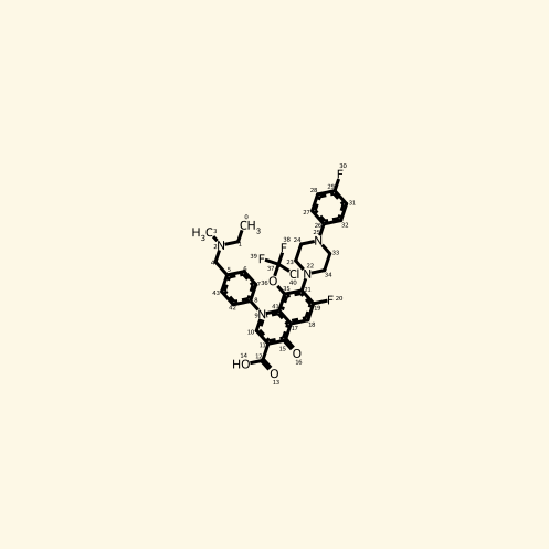 CCN(C)Cc1ccc(-n2cc(C(=O)O)c(=O)c3cc(F)c(N4CCN(c5ccc(F)cc5)CC4)c(OC(F)(F)Cl)c32)cc1